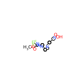 CCOC(=O)c1cn(-c2cccc(-c3cccc4c3N(Cc3ccc(C5CCN(C(=O)O)CC5)cc3)CC4)n2)nc1C(F)(F)F